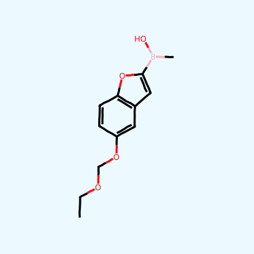 CCOCOc1ccc2oc(B(C)O)cc2c1